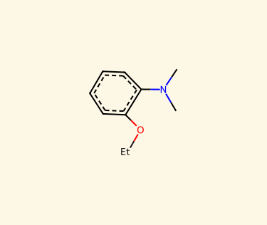 CCOc1ccccc1N(C)C